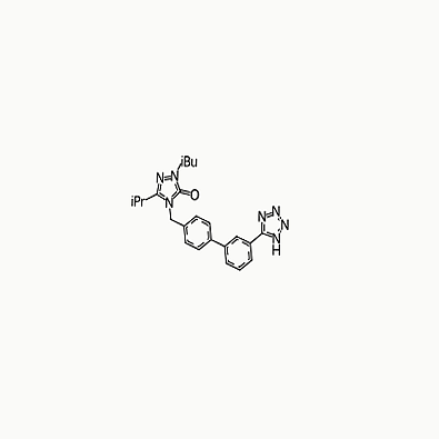 CCC(C)n1nc(C(C)C)n(Cc2ccc(-c3cccc(-c4nnn[nH]4)c3)cc2)c1=O